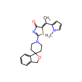 C/C(=C1/SC(N2CCC3(CC2)OCc2ccccc23)=NC1=O)c1cccn1C